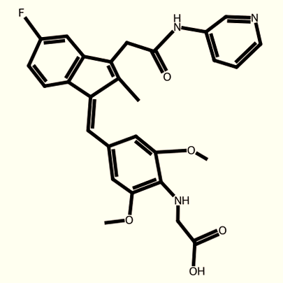 COc1cc(C=C2C(C)=C(CC(=O)Nc3cccnc3)c3cc(F)ccc32)cc(OC)c1NCC(=O)O